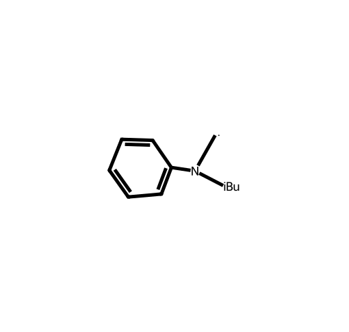 [CH2]N(c1ccccc1)C(C)CC